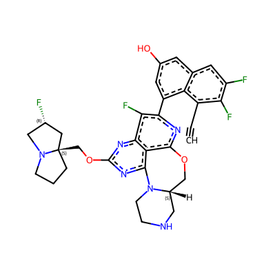 C#Cc1c(F)c(F)cc2cc(O)cc(-c3nc4c5c(nc(OC[C@@]67CCCN6C[C@H](F)C7)nc5c3F)N3CCNC[C@H]3CO4)c12